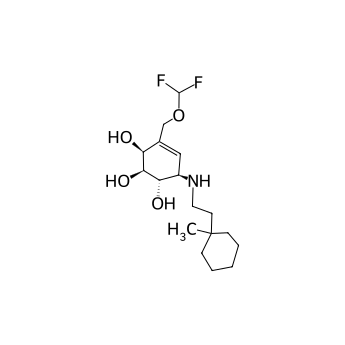 CC1(CCN[C@@H]2C=C(COC(F)F)[C@H](O)[C@H](O)[C@H]2O)CCCCC1